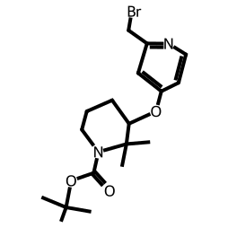 CC(C)(C)OC(=O)N1CCCC(Oc2ccnc(CBr)c2)C1(C)C